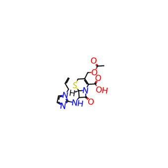 C=CCn1ccnc1NC1C(=O)N2C(C(=O)O)=C(COC(C)=O)CS[C@@H]12